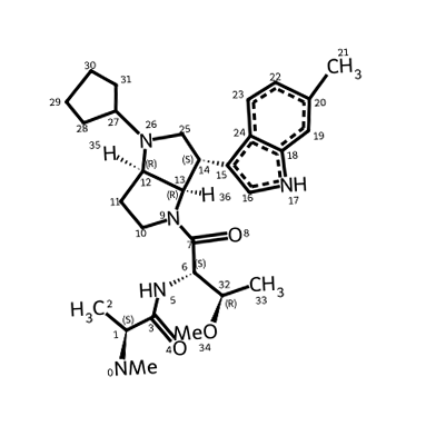 CN[C@@H](C)C(=O)N[C@H](C(=O)N1CC[C@@H]2[C@H]1[C@@H](c1c[nH]c3cc(C)ccc13)CN2C1CCCC1)[C@@H](C)OC